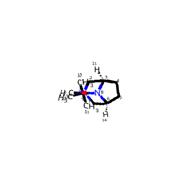 CN1C[C@H]2CC[C@@H](C1)N2C(C)(C)C